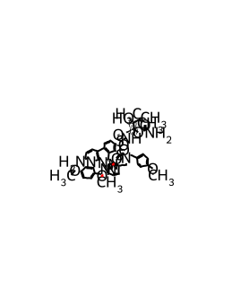 COc1ccc(CN(Cc2ccc(OC)cc2)S(=O)(=O)c2c(S(=O)(=O)NC[C@H](OC(N)=O)[C@@H](O)C(C)(C)C)ccc(-c3ccc(N)nc3)c2-c2nnn(Cc3ccc(OC)cc3)n2)cc1